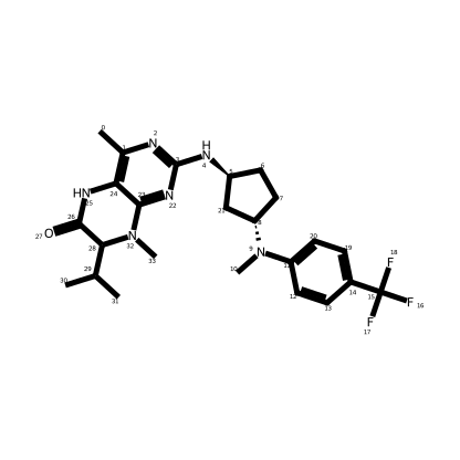 Cc1nc(N[C@H]2CC[C@H](N(C)c3ccc(C(F)(F)F)cc3)C2)nc2c1NC(=O)C(C(C)C)N2C